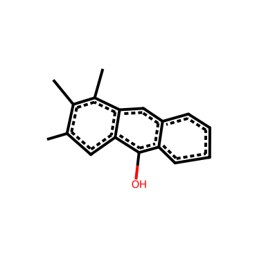 Cc1cc2c(O)c3ccccc3cc2c(C)c1C